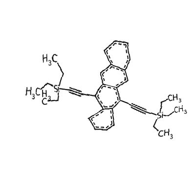 CC[Si](C#Cc1c2ccccc2c(C#C[Si](CC)(CC)CC)c2cc3ccccc3cc12)(CC)CC